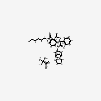 CCCCCCOC(=O)OC(C)OC(C(=O)OC1CC2CCC(C1)[N+]21CCCC1)(c1ccccc1)c1ccccc1.O=C([O-])C(F)(F)F